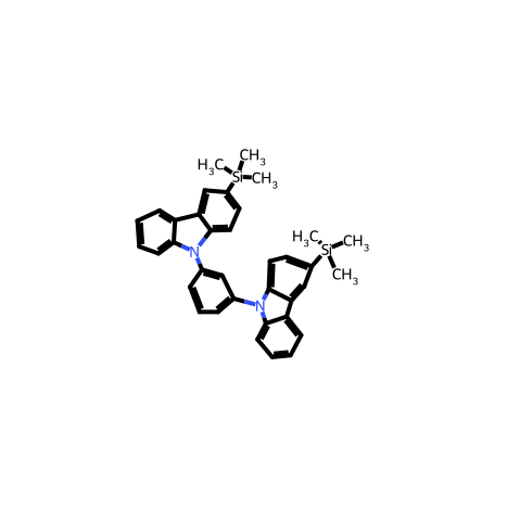 C[Si](C)(C)c1ccc2c(c1)c1ccccc1n2-c1cccc(-n2c3ccccc3c3cc([Si](C)(C)C)ccc32)c1